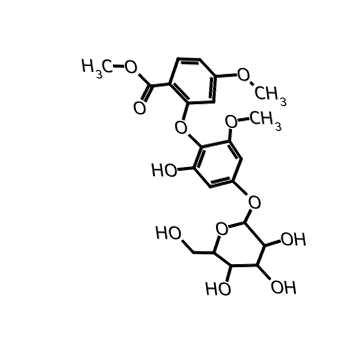 COC(=O)c1ccc(OC)cc1Oc1c(O)cc(OC2OC(CO)C(O)C(O)C2O)cc1OC